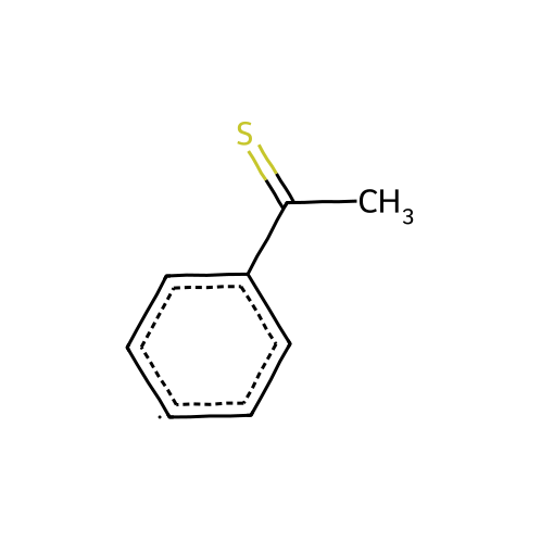 CC(=S)c1cc[c]cc1